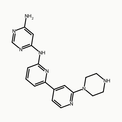 Nc1cc(Nc2cccc(-c3ccnc(N4CCNCC4)c3)n2)ncn1